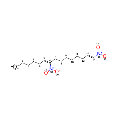 CCCCCC=C(CCCCCCC=C[N+](=O)[O-])[N+](=O)[O-]